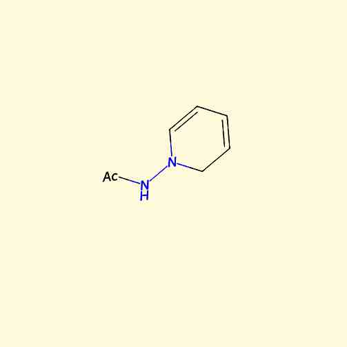 CC(=O)NN1C=CC=CC1